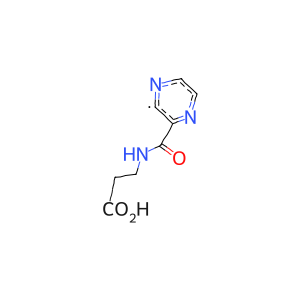 O=C(O)CCNC(=O)c1[c]nccn1